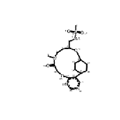 CN1CCC(CNS(C)(=O)=O)OC2CCC(CC2)c2cncnc2OCC1=O